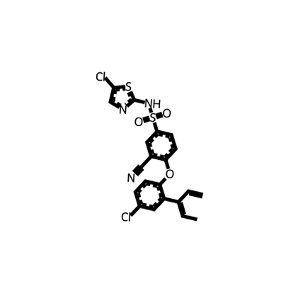 C=C/C(=C\C)c1cc(Cl)ccc1Oc1ccc(S(=O)(=O)Nc2ncc(Cl)s2)cc1C#N